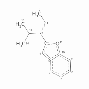 CC[C@H](c1cc2ccccc2o1)C(C)C